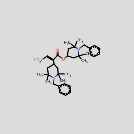 CC1(C)CC(OC(=O)C(=CC(=O)O)C2CC(C)(C)N(Cc3ccccc3)C(C)(C)C2)CC(C)(C)N1Cc1ccccc1